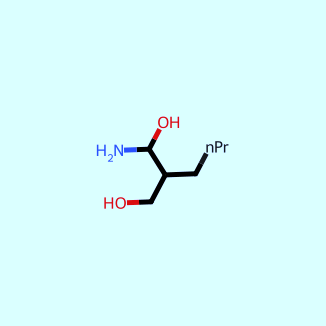 CCCCC(CO)C(N)O